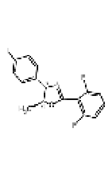 C[C@@H]1OC(c2c(F)cccc2F)=N[C@H]1c1ccc(I)cc1